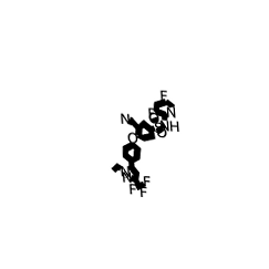 CCn1nc(C(F)(F)F)cc1-c1ccc(Oc2ccc(S(=O)(=O)Nc3ncc(F)cc3F)cc2C#N)cc1